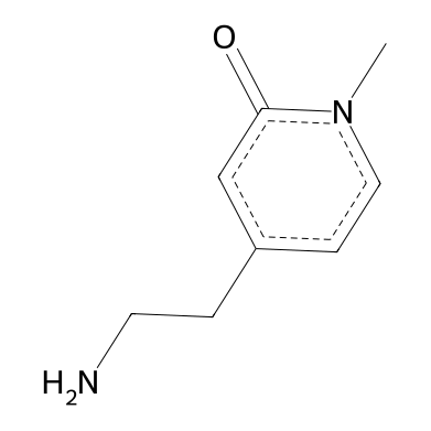 Cn1ccc(CCN)cc1=O